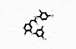 Cc1cc(C#N)cc(Oc2cc(CC(=O)Nc3ccc(O)cc3C)ccc2C)c1